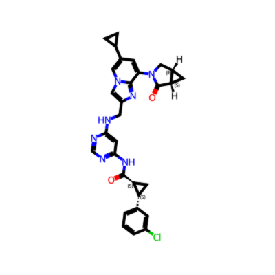 O=C(Nc1cc(NCc2cn3cc(C4CC4)cc(N4C[C@@H]5C[C@@H]5C4=O)c3n2)ncn1)[C@H]1C[C@@H]1c1cccc(Cl)c1